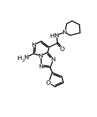 Nc1ncc(C(=O)NN2CCCCC2)c2nc(-c3ccco3)nn12